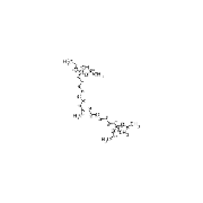 CCO[Si](C)(CCCCOCCN(C)CCOCCCC[Si](C)(OCC)OCC)OCC